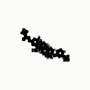 C[C@@H]1CC(COC(=O)C2CCC2)OC2[C@H]1[C@@]1(C)CCC34C[C@@]35CC[C@H](OC3CN(C6COC6)CCO3)C(C)(C)[C@@H]5CCC4[C@]1(C)[C@H]2O